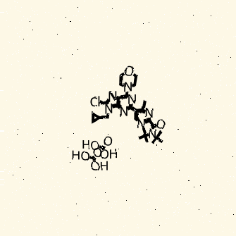 Cc1nc(C(=O)N(C(C)(C)C)C(C)(C)C)ncc1-c1nc(N2CCOCC2)c2nc(Cl)n(CC3CC3)c2n1.O=C(O)O.O=C(O)O